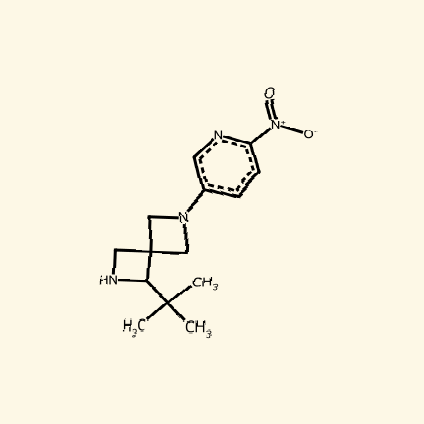 CC(C)(C)C1NCC12CN(c1ccc([N+](=O)[O-])nc1)C2